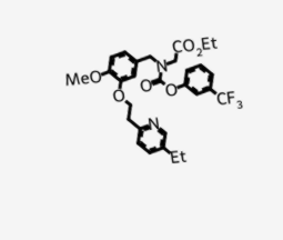 CCOC(=O)CN(Cc1ccc(OC)c(OCCc2ccc(CC)cn2)c1)C(=O)Oc1cccc(C(F)(F)F)c1